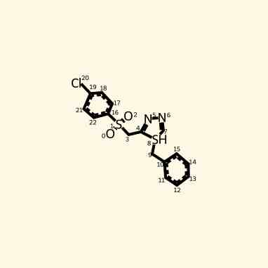 O=S(=O)(CC1=NN=C[SH]1Cc1ccccc1)c1ccc(Cl)cc1